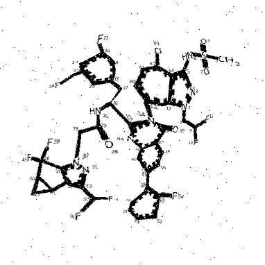 CS(=O)(=O)Nc1nn(CC(F)F)c2c(-n3c([C@H](Cc4cc(F)cc(F)c4)NC(=O)Cn4nc(C(F)F)c5c4C(F)(F)C4CC54)nc4cc(-c5ccccc5F)ccc4c3=O)ccc(Cl)c12